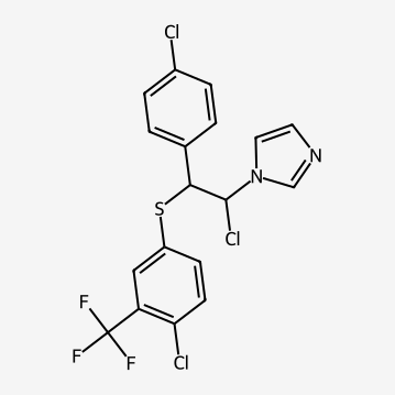 FC(F)(F)c1cc(SC(c2ccc(Cl)cc2)C(Cl)n2ccnc2)ccc1Cl